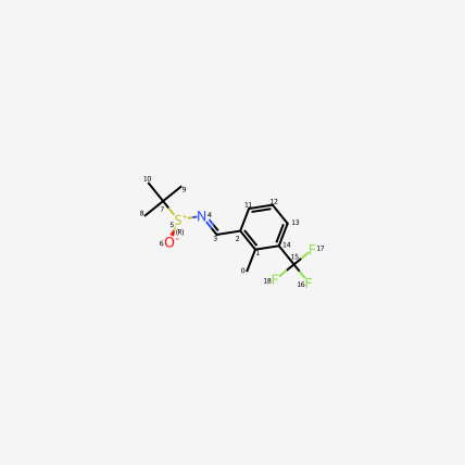 Cc1c(C=N[S@@+]([O-])C(C)(C)C)cccc1C(F)(F)F